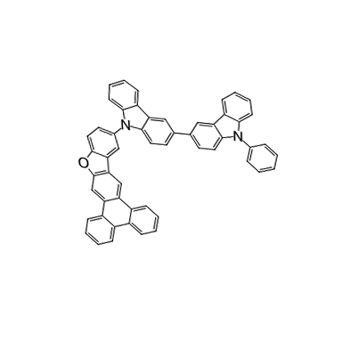 c1ccc(-n2c3ccccc3c3cc(-c4ccc5c(c4)c4ccccc4n5-c4ccc5oc6cc7c8ccccc8c8ccccc8c7cc6c5c4)ccc32)cc1